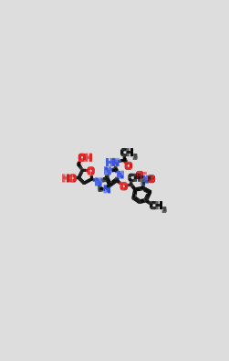 CC(=O)Nc1nc(OC(C)c2ccc(C)cc2[N+](=O)[O-])c2ncn([C@H]3CC(O)[C@@H](CO)O3)c2n1